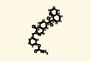 NC(=O)Oc1cccc(Cn2ncc3cc(S(=O)(=O)c4cccc5cccnc45)ccc3c2=O)c1